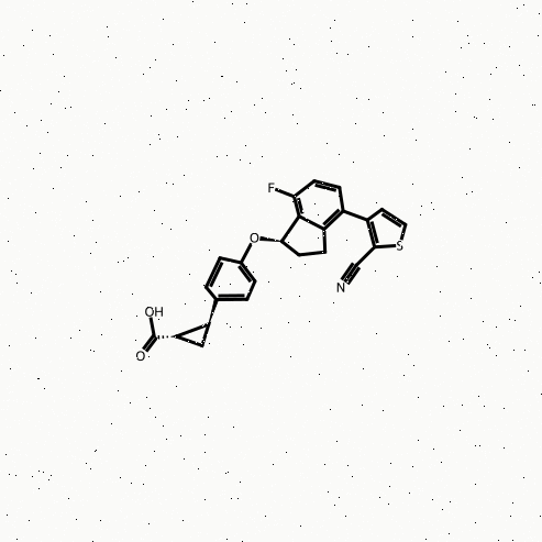 N#Cc1sccc1-c1ccc(F)c2c1CC[C@H]2Oc1ccc([C@H]2C[C@@H]2C(=O)O)cc1